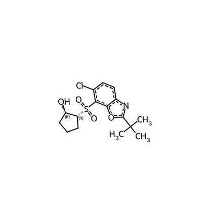 CC(C)(C)c1nc2ccc(Cl)c(S(=O)(=O)[C@@H]3CCC[C@H]3O)c2o1